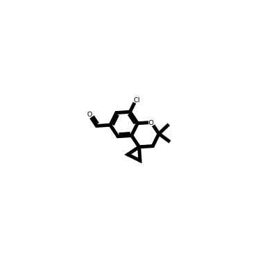 CC1(C)CC2(CC2)c2cc(C=O)cc(Cl)c2O1